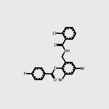 O=C(Oc1c(Br)cc(Br)cc1CNC(=O)c1ccccc1Cl)c1ccc(F)cc1